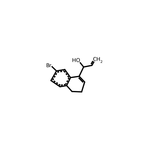 C=CC(O)C1=CCCc2ccc(Br)cc21